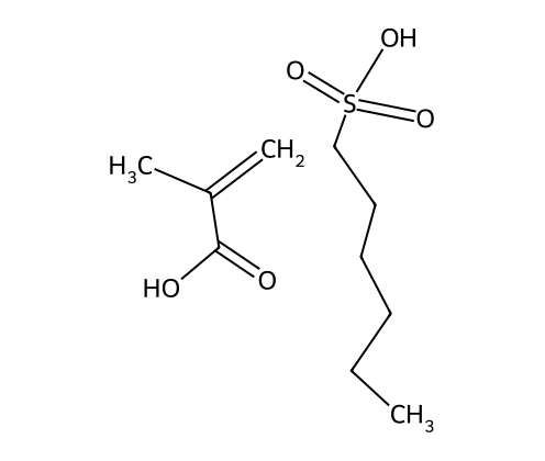 C=C(C)C(=O)O.CCCCCCS(=O)(=O)O